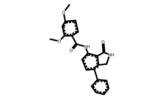 COc1ccc(C(=O)Nc2ccc(-c3ccccc3)c3c2C(=O)NC3)c(OC)c1